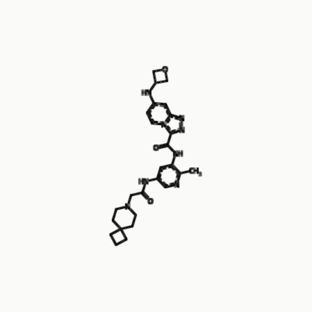 Cc1ncc(NC(=O)CN2CCC3(CCC3)CC2)cc1NC(=O)c1nnc2cc(NC3COC3)ccn12